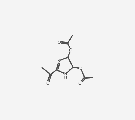 CC(=O)OC1N=C(C(C)=O)NC1OC(C)=O